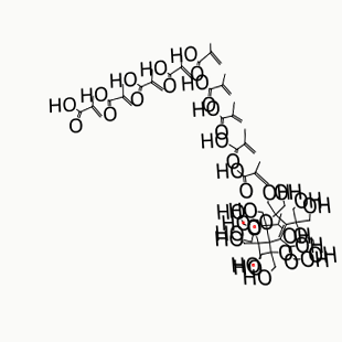 C=C(C)C(=O)O.C=C(C)C(=O)O.C=C(C)C(=O)O.C=C(C)C(=O)O.C=C(C)C(=O)O.C=C(C)C(=O)O.C=C(C)C(=O)O.C=C(C)C(=O)O.C=C(C)C(=O)O.CC(O)C(CO)(OCO)C(C(C(=O)O)=C(C(CO)(CO)OCO)C(CO)(CO)OCO)(C(CO)(CO)OCO)C(CO)(CO)OCO